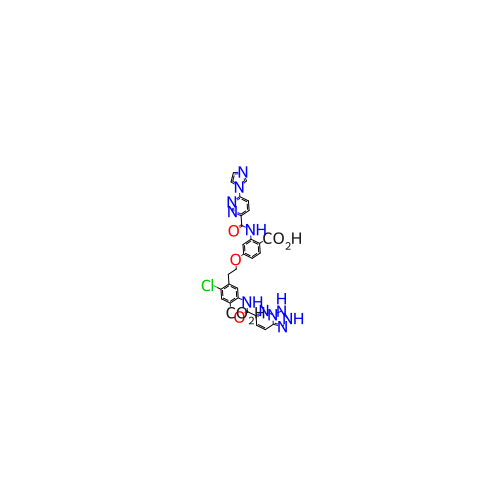 O=C(Nc1cc(CCOc2ccc(C(=O)O)c(NC(=O)c3ccc(-n4ccnc4)nn3)c2)c(Cl)cc1C(=O)O)C1=NN2NNN=C2C=C1